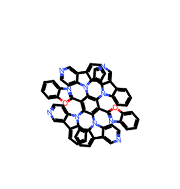 c1ccc2oc(-c3c(-n4c5ccccc5c5cnccc54)c(-n4c5ccccc5c5cnccc54)c(-c4nc5ccccc5o4)c(-n4c5ccccc5c5cnccc54)c3-n3c4ccccc4c4cnccc43)nc2c1